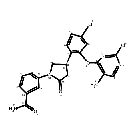 Cc1cnc(Cl)nc1Oc1cc(Cl)ccc1[C@H]1CC(=O)N(c2cccc(C(N)=O)c2)C1